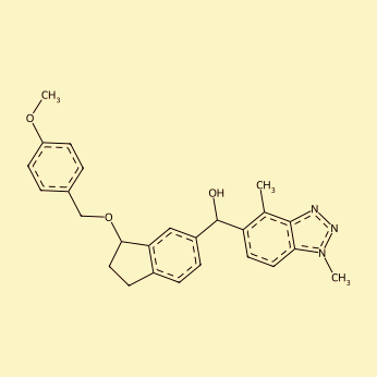 COc1ccc(COC2CCc3ccc(C(O)c4ccc5c(nnn5C)c4C)cc32)cc1